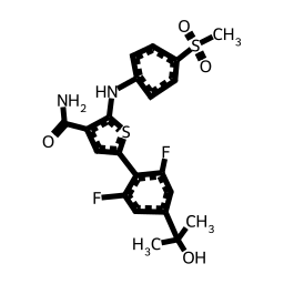 CC(C)(O)c1cc(F)c(-c2cc(C(N)=O)c(Nc3ccc(S(C)(=O)=O)cc3)s2)c(F)c1